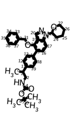 CC(CNC(=O)OC(C)(C)C)c1ccc(-c2ccc3c(cnn3C3CCCCO3)c2OCc2ccccc2)cc1